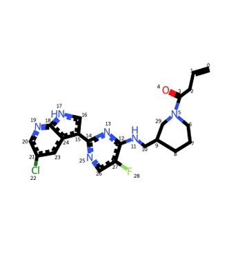 C=CCC(=O)N1CCCC(CNc2nc(-c3c[nH]c4ncc(Cl)cc34)ncc2F)C1